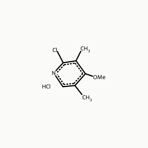 COc1c(C)cnc(Cl)c1C.Cl